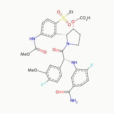 CCS(=O)(=O)c1ccc(NC(=O)OC)cc1[C@@H]1[C@H](OC(=O)O)CCN1C(=O)[C@H](Nc1cc(C(N)=O)ccc1F)c1ccc(F)c(OC)c1